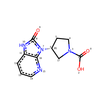 O=C(O)N1CC[C@@H](n2c(=O)[nH]c3cccnc32)C1